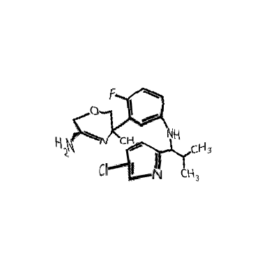 CC(C)C(Nc1ccc(F)c(C2(C)COCC(N)=N2)c1)c1ccc(Cl)cn1